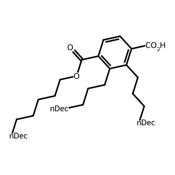 CCCCCCCCCCCCCCCOC(=O)c1ccc(C(=O)O)c(CCCCCCCCCCCCC)c1CCCCCCCCCCCCC